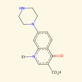 CCn1cc(C(=O)O)c(=O)c2ccc(N3CCNCC3)cc21